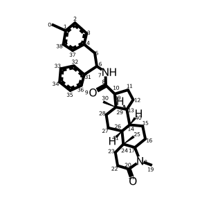 Cc1ccc(CC(NC(=O)C2CC[C@H]3[C@@H]4CCC5N(C)C(=O)CC[C@]5(C)[C@@H]4CC[C@]23C)c2ccccc2)cc1